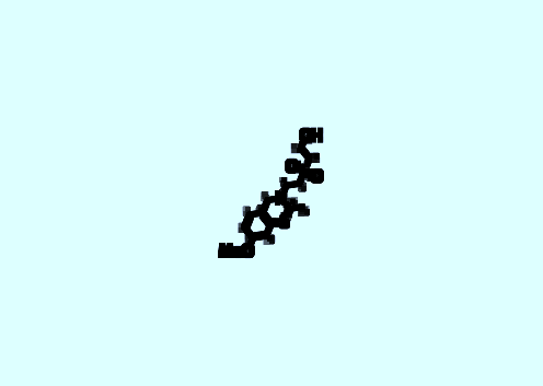 COc1ccc(CN(CCS(=O)(=O)CCO)C(C)=S)cc1